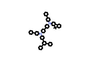 CC1(C)c2ccccc2-c2ccc(N(c3ccc(-c4ccccc4)cc3)c3ccc(-c4ccc(N(c5ccc(-c6ccccc6)cc5)c5ccc(-c6cc(-c7ccccc7)cc(-c7ccccc7)c6)cc5)cc4)cc3)cc21